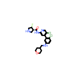 O=C(Nc1cc(-c2cc(NCC3CCOCC3)ccc2Cl)c(Cl)cn1)[C@H]1CNC[C@H]1F